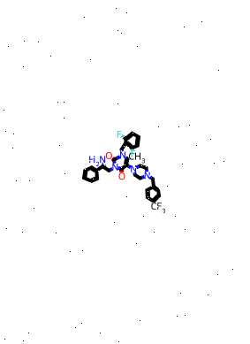 Cc1c(N2CCN(Cc3ccc(C(F)(F)F)cc3)CC2)c(=O)n(C[C@@H](N)c2ccccc2)c(=O)n1Cc1c(F)cccc1F